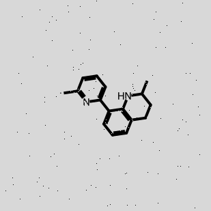 [CH2]c1cccc(-c2cccc3c2NC(C)CC3)n1